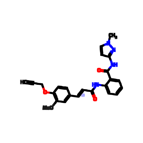 C#CCOc1ccc(/C=C/C(=O)Nc2ccccc2C(=O)Nc2ccn(C)n2)cc1OC